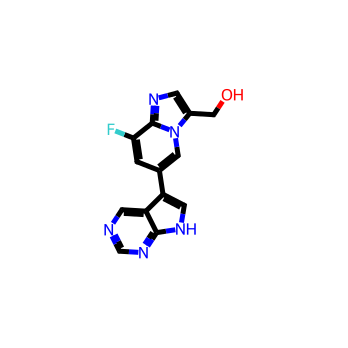 OCc1cnc2c(F)cc(-c3c[nH]c4ncncc34)cn12